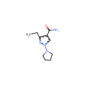 CCc1nn(N2CCCC2)cc1C(N)=O